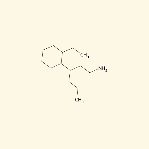 CCCC(CCN)C1CCCCC1CC